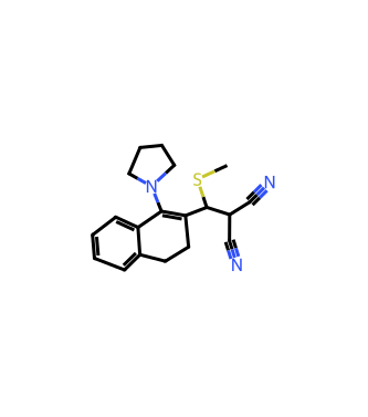 CSC(C1=C(N2CCCC2)c2ccccc2CC1)C(C#N)C#N